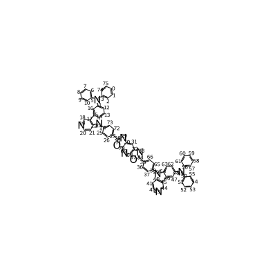 c1ccc(N(c2ccccc2)c2ccc3c(c2)c2cnccc2n3-c2ccc(-c3nc4cc5nc(-c6ccc(-n7c8ccncc8c8cc(N(c9ccccc9)c9ccccc9)ccc87)cc6)oc5nc4o3)cc2)cc1